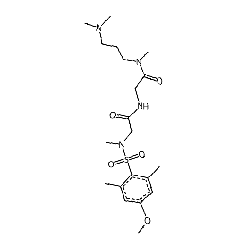 COc1cc(C)c(S(=O)(=O)N(C)CC(=O)NCC(=O)N(C)CCCN(C)C)c(C)c1